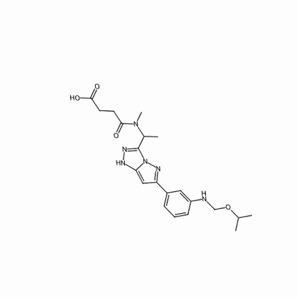 CC(C)OCNc1cccc(-c2cc3[nH]nc(C(C)N(C)C(=O)CCC(=O)O)n3n2)c1